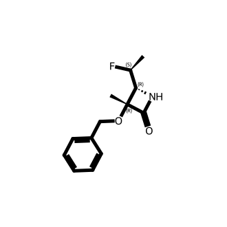 C[C@H](F)[C@@H]1NC(=O)[C@]1(C)OCc1ccccc1